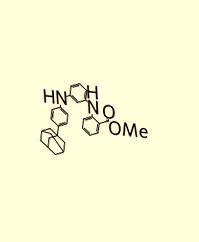 COC(=O)c1ccccc1Nc1cccc(Nc2ccc(C34CC5CC(CC(C5)C3)C4)cc2)c1